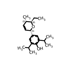 CC[C@H]1O[C@H](c2cc(C(C)C)c(O)c(C(C)C)c2)C=C[C@@H]1C